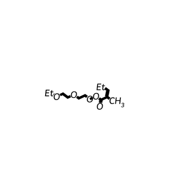 CCC=C(C)C(=O)OOCCOCCOCC